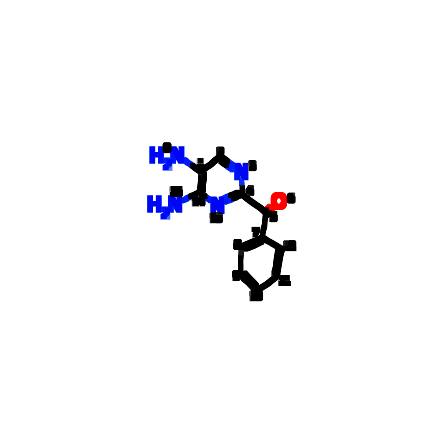 Nc1cnc(C(=O)c2ccccc2)nc1N